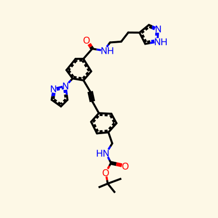 CC(C)(C)OC(=O)NCc1ccc(C#Cc2cc(C(=O)NCCCc3cn[nH]c3)ccc2-n2cccn2)cc1